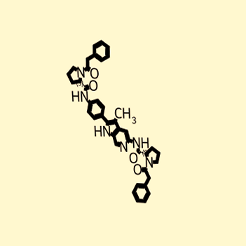 Cc1c(-c2ccc(NC(=O)[C@@H]3CCCN3C(=O)Cc3ccccc3)cc2)[nH]c2cnc(NC(=O)[C@@H]3CCCN3C(=O)Cc3ccccc3)cc12